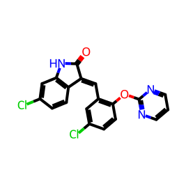 O=C1Nc2cc(Cl)ccc2/C1=C\c1cc(Cl)ccc1Oc1ncccn1